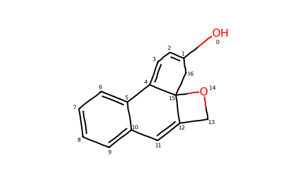 OC1=CC=C2c3ccccc3C=C3COC32C1